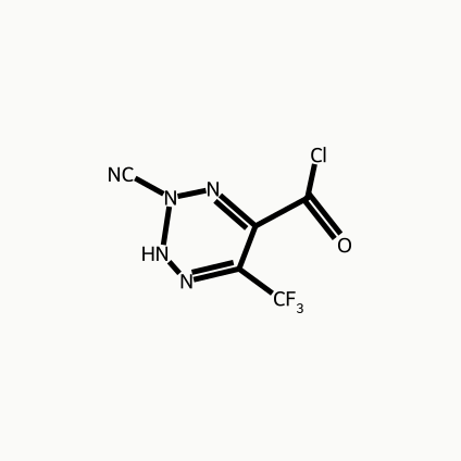 N#CN1N=C(C(=O)Cl)C(C(F)(F)F)=NN1